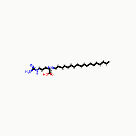 CCCCCCCCCCCCCCCCCCNC(CCCNC(=N)N)C(=O)O